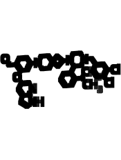 CC(C)c1ccccc1C1CN(Cc2ccc(Cl)c(Cl)c2)CCN1C1CC2(CCN(c3ccc(C=O)c(Oc4cnc5[nH]ccc5c4)c3)CC2)C1